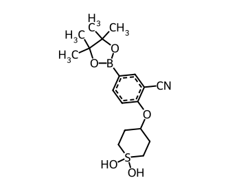 CC1(C)OB(c2ccc(OC3CCS(O)(O)CC3)c(C#N)c2)OC1(C)C